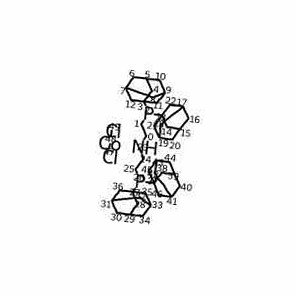 C(CP(C12CC3CC(CC(C3)C1)C2)C12CC3CC(CC(C3)C1)C2)NCCP(C12CC3CC(CC(C3)C1)C2)C12CC3CC(CC(C3)C1)C2.[Cl][Co][Cl]